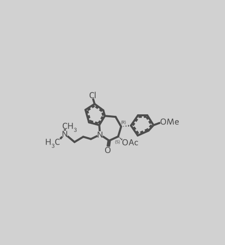 COc1ccc([C@H]2Cc3cc(Cl)ccc3N(CCCN(C)C)C(=O)[C@H]2OC(C)=O)cc1